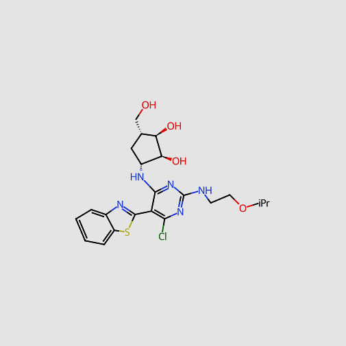 CC(C)OCCNc1nc(Cl)c(-c2nc3ccccc3s2)c(N[C@@H]2C[C@H](CO)[C@@H](O)[C@H]2O)n1